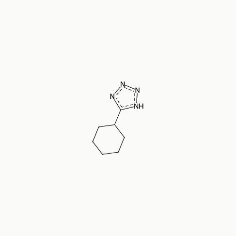 C1CCC(c2nnn[nH]2)CC1